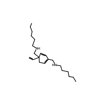 C=CC1(CNCCCCCC)C=CC(CNCCCCCC)=CC1